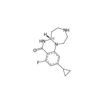 O=C1N[C@@H]2CCNCCN2c2cc(C3CC3)cc(F)c21